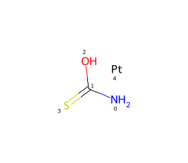 NC(O)=S.[Pt]